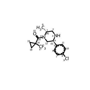 C[C@@H]1CN[C@@H](c2ccc(Cl)cc2)CN1C(=O)C1(C(F)(F)F)CC1